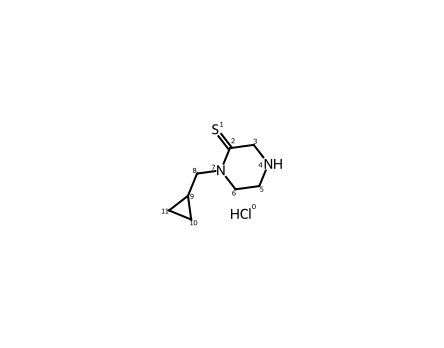 Cl.S=C1CNCCN1CC1CC1